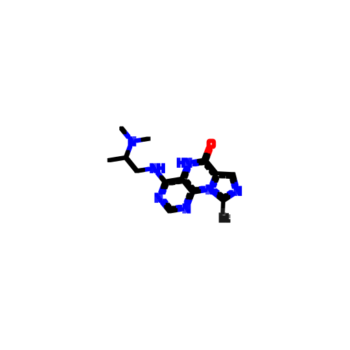 CCc1ncc2c(=O)[nH]c3c(NCC(C)N(C)C)ncnc3n12